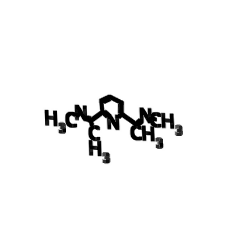 C/N=C(\C)c1cccc(/C(C)=N/C)n1